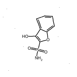 NS(=O)(=O)c1oc2ccccc2c1O